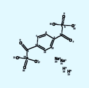 O=C(c1ccc(C(=O)P(=O)([O-])[O-])cc1)P(=O)([O-])[O-].[H+].[H+].[Na+].[Na+]